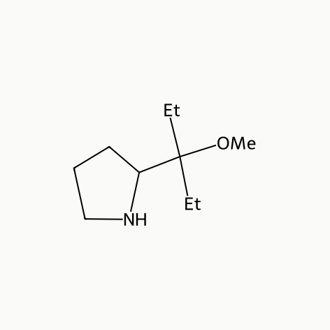 CCC(CC)(OC)C1CCCN1